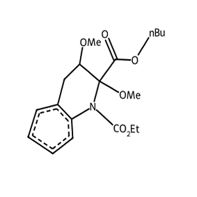 CCCCOC(=O)C1(OC)C(OC)Cc2ccccc2N1C(=O)OCC